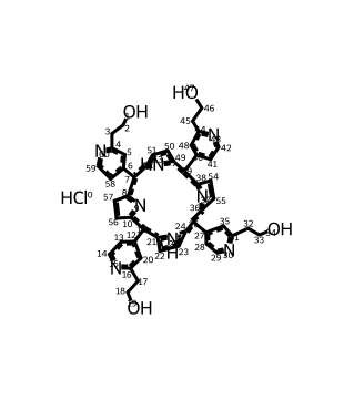 Cl.OCCc1cc(-c2c3nc(c(-c4ccnc(CCO)c4)c4ccc([nH]4)c(-c4ccnc(CCO)c4)c4nc(c(-c5ccnc(CCO)c5)c5ccc2[nH]5)C=C4)C=C3)ccn1